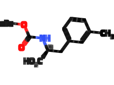 CCCCOC(=O)N[C@@H](Cc1cccc(C)c1)C(=O)O